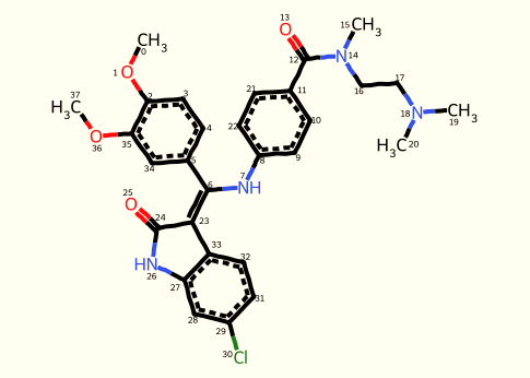 COc1ccc(C(Nc2ccc(C(=O)N(C)CCN(C)C)cc2)=C2C(=O)Nc3cc(Cl)ccc32)cc1OC